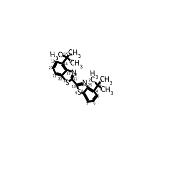 CC(C)(C)c1cccc2sc(-c3nc4c(C(C)(C)C)cccc4s3)nc12